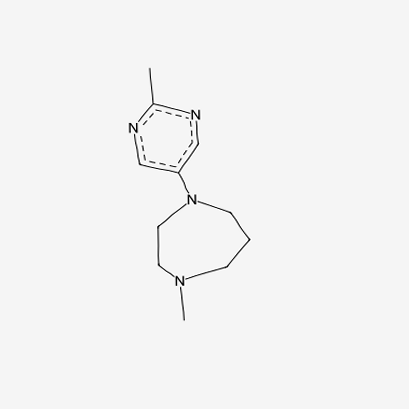 Cc1ncc(N2CCCN(C)CC2)cn1